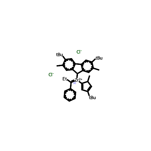 CC/[C](c1ccccc1)=[Zr+2](/[C]1=CC(C(C)(C)C)=CC1C)[CH]1c2cc(C)c(C(C)(C)C)cc2-c2cc(C(C)(C)C)c(C)cc21.[Cl-].[Cl-]